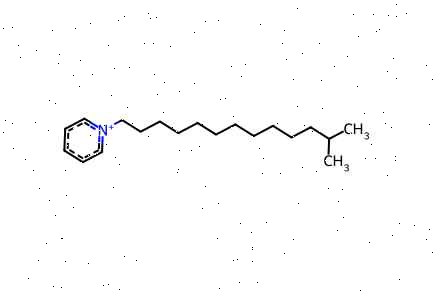 CC(C)CCCCCCCCCCC[n+]1ccccc1